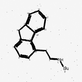 CC(C)(C)NCCc1cccc2c1-c1ccccc1C2